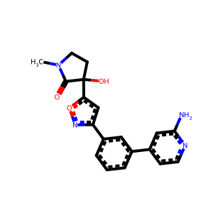 CN1CCC(O)(c2cc(-c3cccc(-c4ccnc(N)c4)c3)no2)C1=O